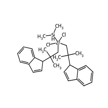 C[SiH](C)[Zr]([Cl])([Cl])([CH2]C(C)(C)C1C=Cc2ccccc21)[CH2]C(C)(C)C1C=Cc2ccccc21